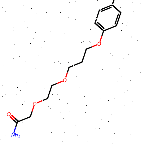 Cc1ccc(OCCCOCCOCC(N)=O)cc1